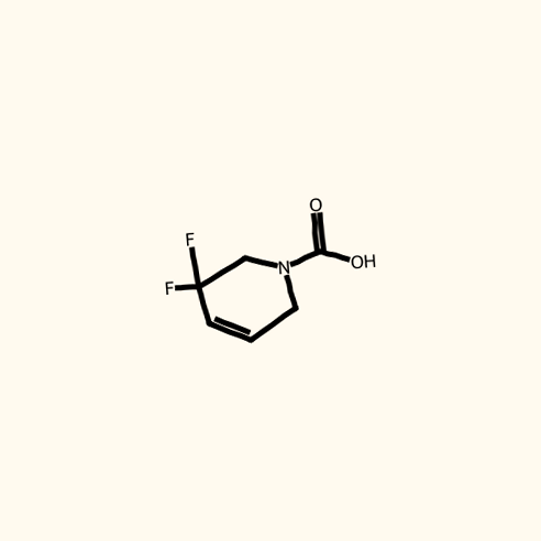 O=C(O)N1CC=CC(F)(F)C1